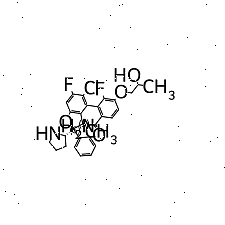 CC(O)COc1ccc(C(N)=O)c(-c2c(Cl)c(F)cc3c2[C@H](C)[C@](c2ccccc2)(C2CCCN2)O3)c1F